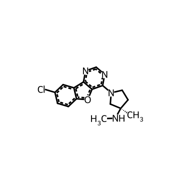 CN[C@]1(C)CCN(c2ncnc3c2oc2ccc(Cl)cc23)C1